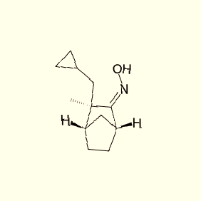 C[C@]1(CC2CC2)/C(=N\O)[C@@H]2CC[C@H]1C2